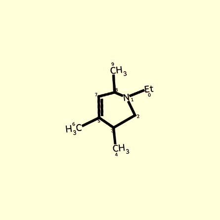 CCN1CC(C)C(C)=CC1C